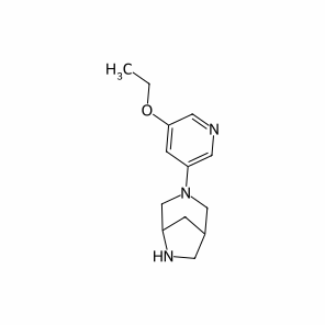 CCOc1cncc(N2CC3CNC(C3)C2)c1